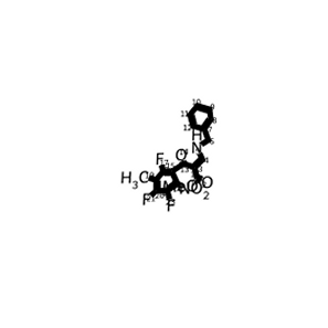 COC(=O)C(=CNCc1ccccc1)C(=O)c1c(F)c(C)c(F)c(F)c1[N+](=O)[O-]